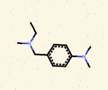 CCN(C)Cc1ccc(N(C)C)cc1